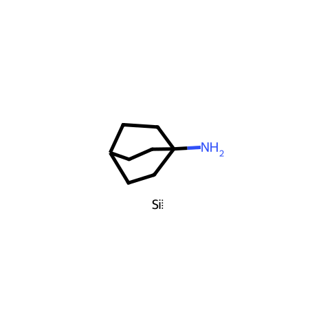 NC12CCC(CC1)CC2.[Si]